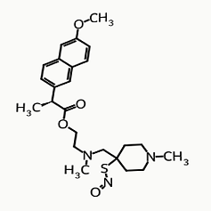 COc1ccc2cc([C@H](C)C(=O)OCCN(C)CC3(SN=O)CCN(C)CC3)ccc2c1